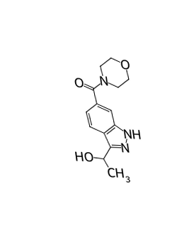 CC(O)c1n[nH]c2cc(C(=O)N3CCOCC3)ccc12